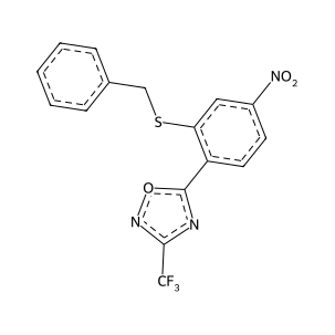 O=[N+]([O-])c1ccc(-c2nc(C(F)(F)F)no2)c(SCc2ccccc2)c1